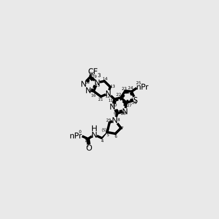 CCCC(=O)NC[C@@H]1CCN(c2nc(N3CCn4c(nnc4C(F)(F)F)C3)c3cc(CCC)sc3n2)C1